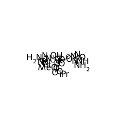 CCC1C(COC)C(OP(=O)(OCC2CCC(n3cnc4c(=O)[nH]c(N)nc43)O2)SCOC(=O)OC(C)C)C(O)C1n1cnc2c(N)ncnc21